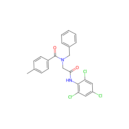 Cc1ccc(C(=O)N(CC(=O)Nc2c(Cl)cc(Cl)cc2Cl)Cc2ccccc2)cc1